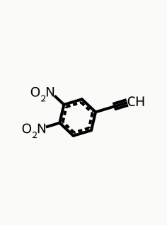 C#Cc1ccc([N+](=O)[O-])c([N+](=O)[O-])c1